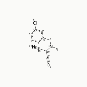 CN(Cc1cccc(Cl)c1)C(C#N)C#N